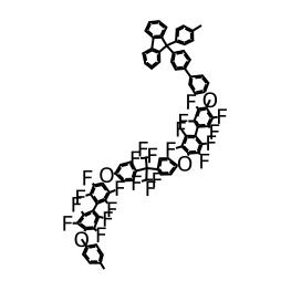 Cc1ccc(Oc2c(F)c(F)c(-c3c(F)c(F)c(Oc4ccc(C(c5ccc(Oc6c(F)c(F)c(-c7c(F)c(F)c(Oc8ccc(-c9ccc(C%10(c%11ccc(C)cc%11)c%11ccccc%11-c%11ccccc%11%10)cc9)cc8)c(F)c7F)c(F)c6F)cc5)(C(F)(F)F)C(F)(F)F)cc4)c(F)c3F)c(F)c2F)cc1